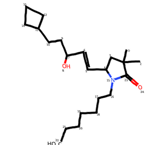 CC1(C)CC(C=CC(O)CCC2CCC2)N(CCCCCCC(=O)O)C1=O